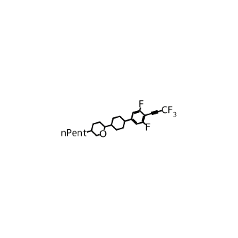 CCCCCC1CCC(C2CCC(c3cc(F)c(C#CC(F)(F)F)c(F)c3)CC2)OC1